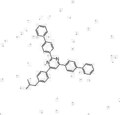 CC(C)Cc1ccc(-c2cc(-c3ccc(-c4ccccc4)cc3)nc(-c3ccc(-c4ccccc4)cc3)n2)cc1